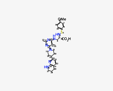 COc1ccc(SN[C@@H](CNc2nc(C)nc(N3CCC(c4ccc5c(n4)NCCC5)CC3)c2C)C(=O)O)cc1